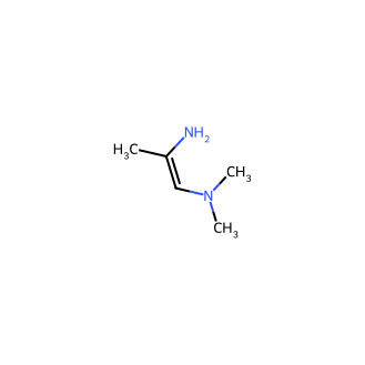 CC(N)=CN(C)C